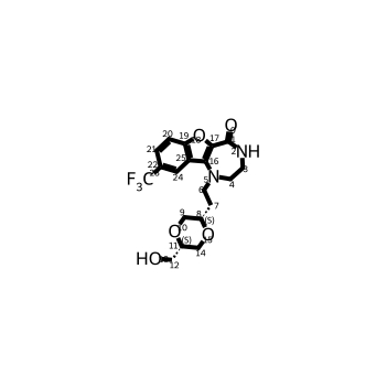 O=C1NCCN(CC[C@H]2CO[C@@H](CO)CO2)c2c1oc1ccc(C(F)(F)F)cc21